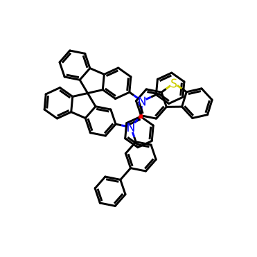 c1ccc(-c2cccc(N(c3ccc4c(c3)C3(c5ccccc5-c5ccc(N(c6ccccc6)c6ccccc6)cc53)c3ccccc3-4)c3ccc4sc5ccccc5c4c3)c2)cc1